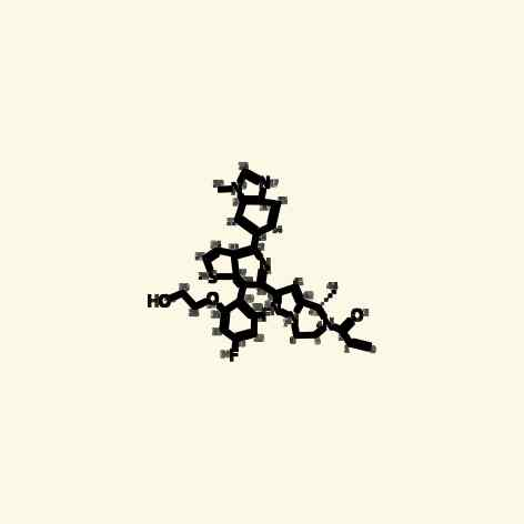 C=CC(=O)N1CCn2nc(-c3nc(-c4ccc5ncn(C)c5c4)c4ccsc4c3-c3c(F)cc(F)cc3OCCO)cc2[C@@H]1C